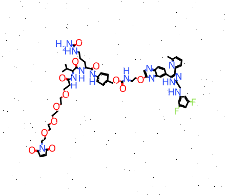 Cc1cccc(-c2nc(CNc3cc(F)cc(F)c3)[nH]c2-c2ccc3ncc(OCCNC(=O)OCc4ccc(NC(=O)C(CCCNC(N)=O)NC(=O)C(NC(=O)CCOCCOCCOCCOCCN5C(=O)C=CC5=O)C(C)C)cc4)nc3c2)n1